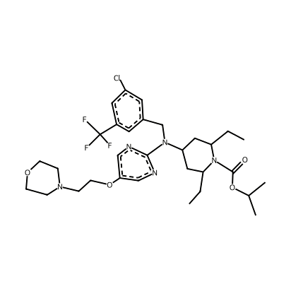 CCC1CC(N(Cc2cc(Cl)cc(C(F)(F)F)c2)c2ncc(OCCN3CCOCC3)cn2)CC(CC)N1C(=O)OC(C)C